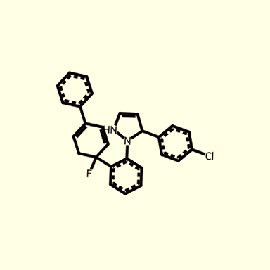 FC1(c2ccccc2N2NC=CC2c2ccc(Cl)cc2)C=CC(c2ccccc2)=CC1